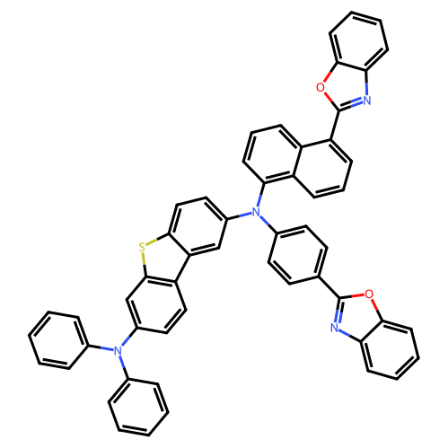 c1ccc(N(c2ccccc2)c2ccc3c(c2)sc2ccc(N(c4ccc(-c5nc6ccccc6o5)cc4)c4cccc5c(-c6nc7ccccc7o6)cccc45)cc23)cc1